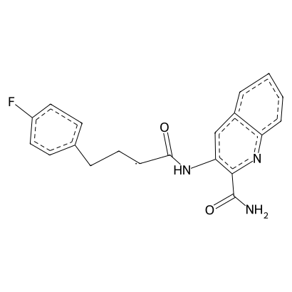 NC(=O)c1nc2ccccc2cc1NC(=O)[CH]CCc1ccc(F)cc1